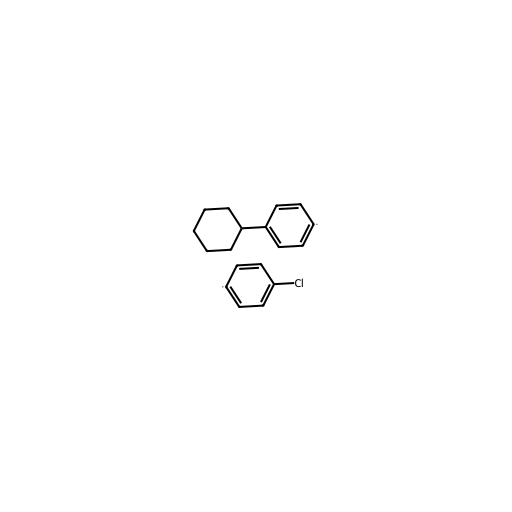 Clc1cc[c]cc1.[c]1ccc(C2CCCCC2)cc1